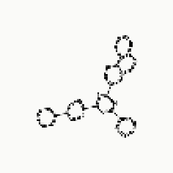 c1ccc(-c2ccc(-c3nc(-c4ccccc4)nc(-c4ccc5c(ccc6ccccc65)c4)n3)cc2)cc1